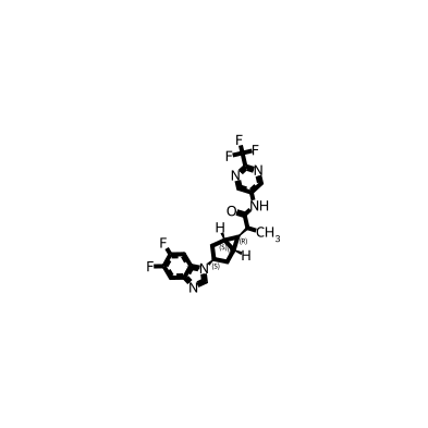 CC(C(=O)Nc1cnc(C(F)(F)F)nc1)[C@H]1[C@@H]2C[C@@H](n3cnc4cc(F)c(F)cc43)C[C@@H]21